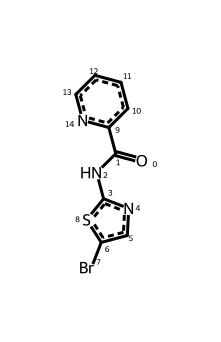 O=C(Nc1ncc(Br)s1)c1ccccn1